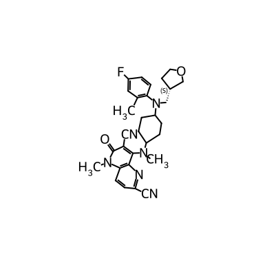 Cc1cc(F)ccc1N(C[C@@H]1CCOC1)C1CCC(N(C)c2c(C#N)c(=O)n(C)c3ccc(C#N)nc23)CC1